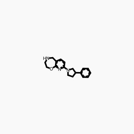 c1ccc(C2CCN(c3ccc4c(n3)OCCNC4)C2)cc1